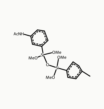 CO[Si](OC)(O[Si](OC)(OC)c1cccc(NC(C)=O)c1)c1ccc(C)cc1